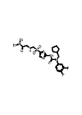 CCN(CC)C(=O)CNCS(=O)(=O)c1cnc(NC(=O)N(CC2CCCC2)c2ccc(F)c(F)c2)s1